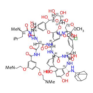 CNCCOCc1cc(OCCNC)cc(C(=O)NC(=O)C[C@@H]2NC(=O)[C@H](NC(=O)[C@@H](CC(C)C)NC)[C@H](O)c3ccc4c(c3)C(O)[C@H]3O[C@@H](Oc5c6cc(cc5O4)[C@@H](NC2=O)C(=O)N[C@H]2C(=O)N[C@H](C(=O)N[C@H](C(=O)NC4C5CC7CC(C5)CC4C7)c4cc(O)cc(O)c4-c4cc2ccc4O)[C@H](O)c2ccc(c(Cl)c2)O6)[C@H](O[C@H]2C[C@](C)(N)[C@H](O)[C@H](C)O2)[C@@H](O)[C@@H]3O)c1